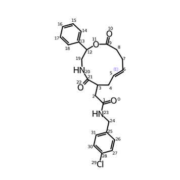 O=C(CC1C/C=C/CCC(=O)OC(c2ccccc2)CNC1=O)NCc1ccc(Cl)cc1